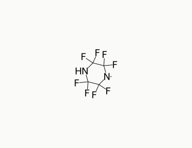 FC1(F)[N]C(F)(F)C(F)(F)NC1(F)F